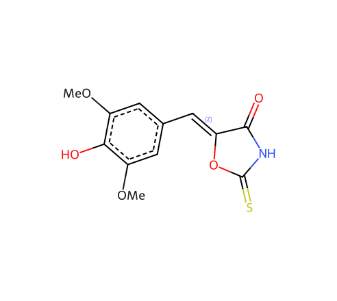 COc1cc(/C=C2\OC(=S)NC2=O)cc(OC)c1O